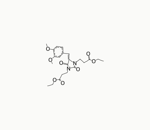 CCOC(=O)CCN1C(=O)/C(=C\c2ccc(OC)c(OC)c2)N(CCC(=O)OCC)C1=O